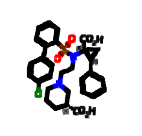 O=C(O)[C@@H]1CCCN(CCN([C@]2(C(=O)O)C[C@H]2c2ccccc2)S(=O)(=O)c2ccccc2-c2ccc(Cl)cc2)C1